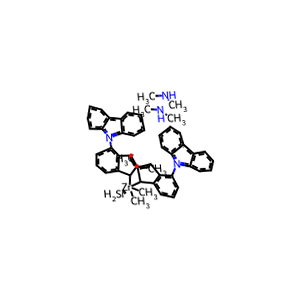 CC1=Cc2c(cccc2-n2c3ccccc3c3ccccc32)[CH]1[Zr]([CH3])([CH3])(=[SiH2])[CH]1C(C)=Cc2c1cccc2-n1c2ccccc2c2ccccc21.CNC.CNC